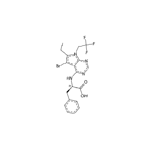 CCc1c(Br)c2c(N[C@H](Cc3ccccc3)C(=O)O)ncnc2n1CC(F)(F)F